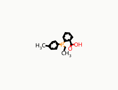 CCP(c1ccc(C)cc1)c1ccccc1C(=O)O